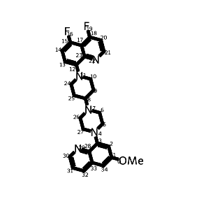 COc1cc(N2CCN(C3CCN(c4ccc(F)c5c(F)ccnc45)CC3)CC2)c2ncccc2c1